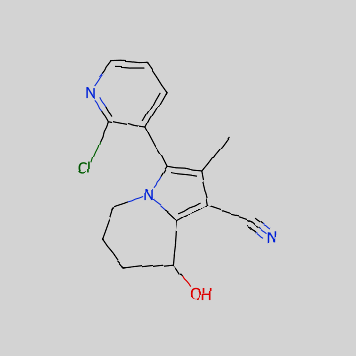 Cc1c(C#N)c2n(c1-c1cccnc1Cl)CCCC2O